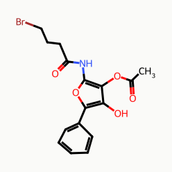 CC(=O)Oc1c(NC(=O)CCCBr)oc(-c2ccccc2)c1O